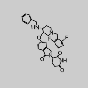 O=C1CCC(N2Cc3cc(O[C@@H]4CN(Cc5c(F)cccc5F)CC[C@H]4NCc4ccccc4)ccc3C2=O)C(=O)N1